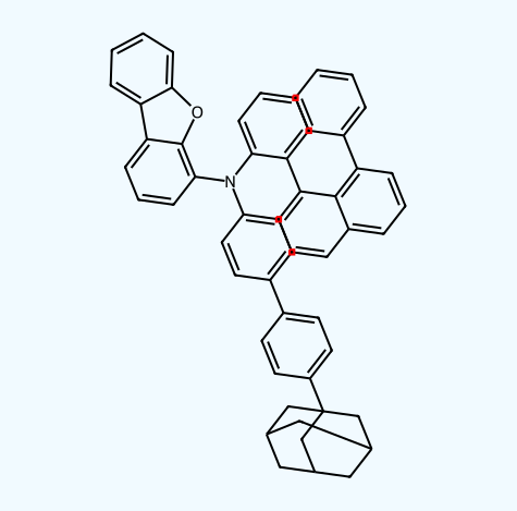 c1ccc(-c2cccc3cccc(-c4ccccc4N(c4ccc(-c5ccc(C67CC8CC(CC(C8)C6)C7)cc5)cc4)c4cccc5c4oc4ccccc45)c23)cc1